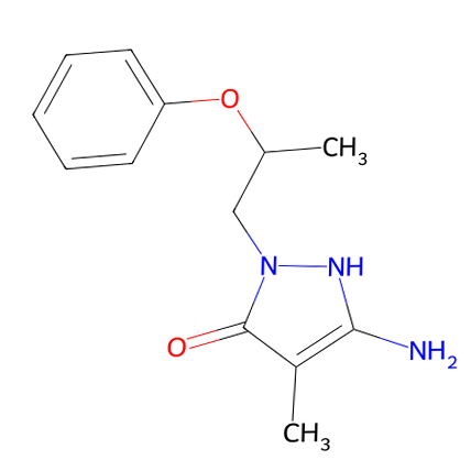 Cc1c(N)[nH]n(CC(C)Oc2ccccc2)c1=O